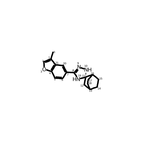 Cc1coc2ccc(C3=NN[C@]4(CC5CCC4CC5)N3)cc12